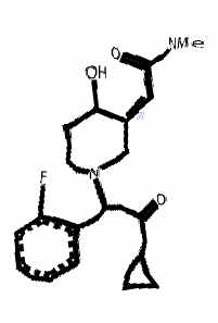 CNC(=O)/C=C1/CN(C(C(=O)C2CC2)c2ccccc2F)CCC1O